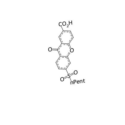 CCCCCS(=O)(=O)c1ccc2c(=O)c3cc(C(=O)O)ccc3oc2c1